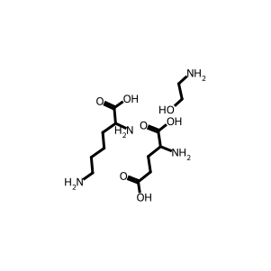 NC(CCC(=O)O)C(=O)O.NCCCCC(N)C(=O)O.NCCO